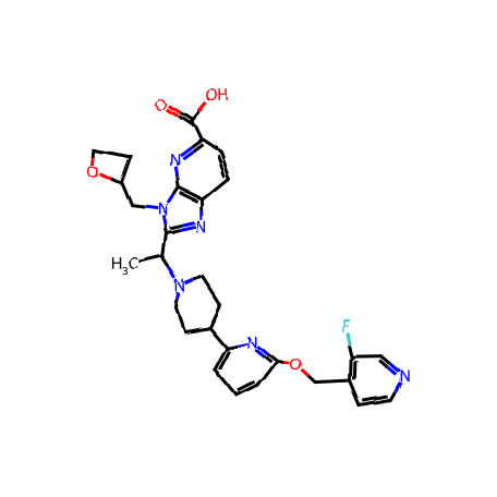 CC(c1nc2ccc(C(=O)O)nc2n1CC1CCO1)N1CCC(c2cccc(OCc3ccncc3F)n2)CC1